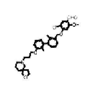 Cc1c(COc2cc(O)c(C=O)cc2Cl)cccc1-c1cccc(OCCCN2CCCC3(CCOC3)C2)c1C